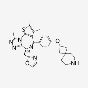 Cc1sc2c(c1C)C(c1ccc(OC3CC4(CCNCC4)C3)cc1)=N[C@@H](Cc1ncco1)c1nnc(C)n1-2